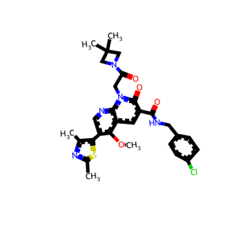 COc1c(-c2sc(C)nc2C)cnc2c1cc(C(=O)NCc1ccc(Cl)cc1)c(=O)n2CC(=O)N1CC(C)(C)C1